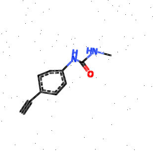 C#Cc1ccc(NC(=O)NC)cc1